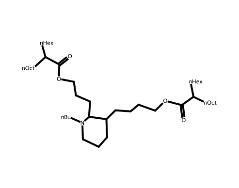 CCCCCCCCC(CCCCCC)C(=O)OCCCCC1CCCN(CCCC)C1CCCOC(=O)C(CCCCCC)CCCCCCCC